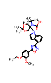 CCOc1ccc(-c2nc(-c3cccc4c3ccn4CC3(N(C(=O)O)C(C)(C)C)COC(C)(C)OC3)no2)cc1OC